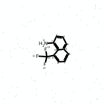 Nc1cccc2cccc(C(F)(F)F)c12